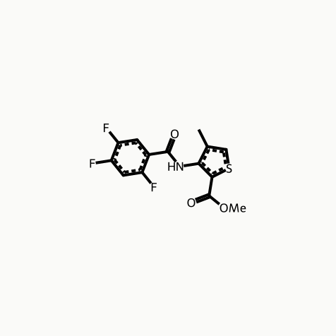 COC(=O)c1scc(C)c1NC(=O)c1cc(F)c(F)cc1F